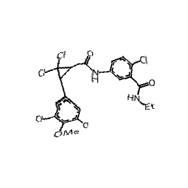 CCNC(=O)c1cc(NC(=O)C2C(c3cc(Cl)c(OC)c(Cl)c3)C2(Cl)Cl)ccc1Cl